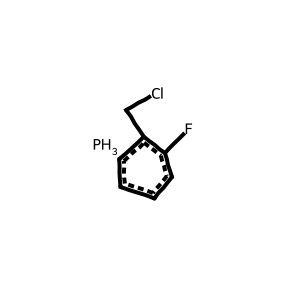 Fc1ccccc1CCl.P